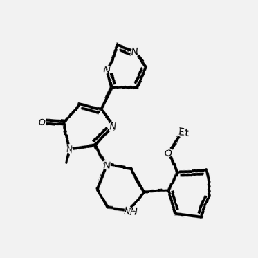 CCOc1ccccc1C1CN(c2nc(-c3ccncn3)cc(=O)n2C)CCN1